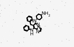 N[C@H]1CC[C@H](Nc2nn3ccnc3c(Nc3ccccc3)c2Cc2ccccc2)CC1